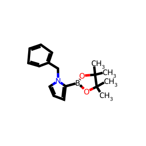 CC1(C)OB(c2cccn2Cc2ccccc2)OC1(C)C